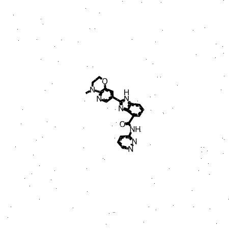 CN1CCOc2cc(-c3nc4c(C(=O)Nc5cccnn5)cccc4[nH]3)cnc21